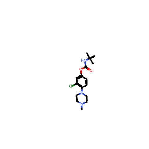 CN1CCN(c2ccc(OC(=O)NC(C)(C)C)cc2Cl)CC1